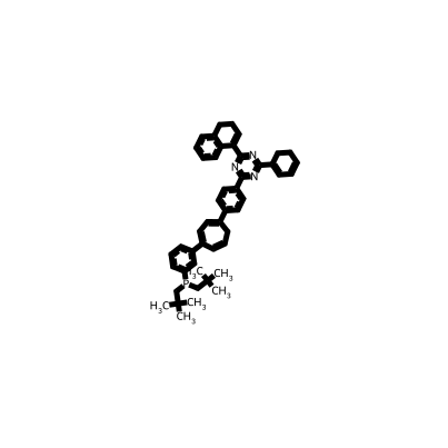 CC(C)(C)CP(CC(C)(C)C)c1cccc(C2=CC=C(c3ccc(-c4nc(C5=CC=CCC5)nc(C5=CCCc6ccccc65)n4)cc3)CC=C2)c1